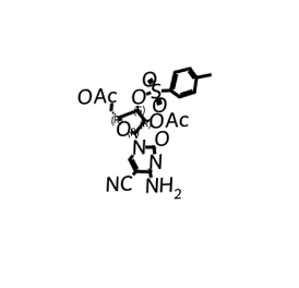 CC(=O)OC[C@H]1O[C@@H](n2cc(C#N)c(N)nc2=O)[C@H](OC(C)=O)[C@H]1OS(=O)(=O)c1ccc(C)cc1